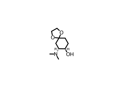 CN(C)[C@@H]1CC2(CC[C@H]1O)OCCO2